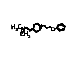 CN(C)CCC1CCN(CCCOc2ccccc2)CC1